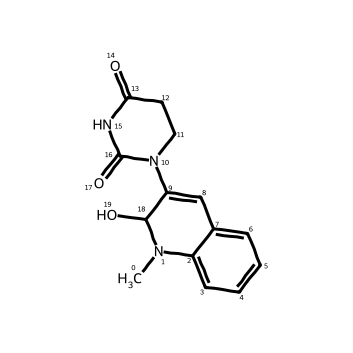 CN1c2ccccc2C=C(N2CCC(=O)NC2=O)C1O